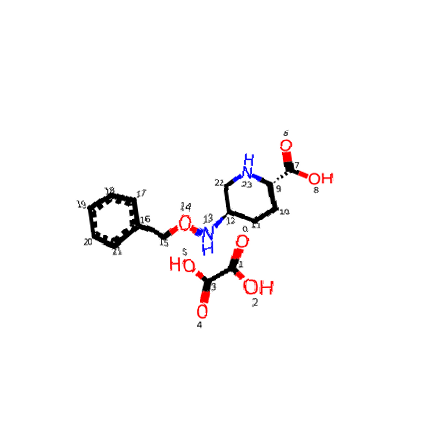 O=C(O)C(=O)O.O=C(O)[C@@H]1CC[C@@H](NOCc2ccccc2)CN1